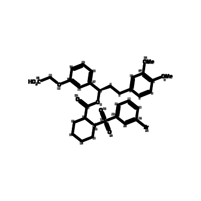 COc1ccc(CC[C@@H](OC(=O)C2CCCCN2S(=O)(=O)c2cccc(Br)c2)c2cccc(OCC(=O)O)c2)cc1OC